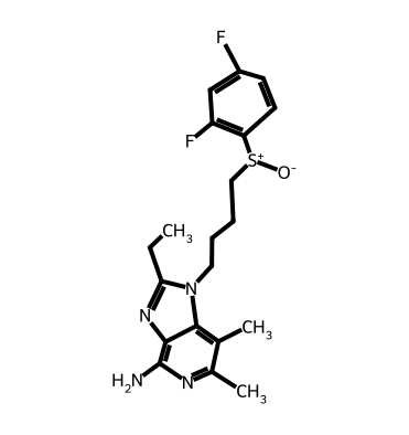 CCc1nc2c(N)nc(C)c(C)c2n1CCCC[S+]([O-])c1ccc(F)cc1F